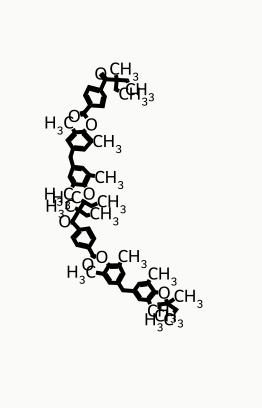 CCC(C)(CC)Oc1c(C)cc(Cc2cc(C)c(OC(=O)c3ccc(C(=O)C(C)(CC)C(C)(CC)Oc4c(C)cc(Cc5cc(C)c(OC(=O)c6ccc(C(=O)C(C)(CC)CC)cc6)c(C)c5)cc4C)cc3)c(C)c2)cc1C